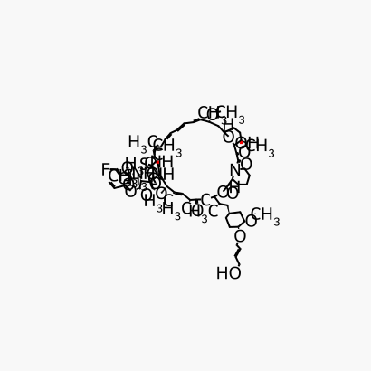 C/C=C\C(=O)O[C@@H]1O[C@@H](O[C@@H]2/C(C)=C/[C@@H](C)C(=O)CC([C@H](C)C[C@@H]3CC[C@@H](OC/C=C/CO)[C@H](OC)C3)OC(=O)[C@@H]3CCCCN3C(=O)C(=O)[C@]3(O)O[C@@H](CC[C@H]3C)C[C@H](OC)/C(C)=C/C=C/C=C/[C@@H](C)C[C@@H](C)C(=O)[C@@H]2OC)[C@H](NC(=S)NCC)[C@H]1NS(=O)(=O)/C=C/F